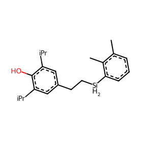 Cc1cccc([SiH2]CCc2cc(C(C)C)c(O)c(C(C)C)c2)c1C